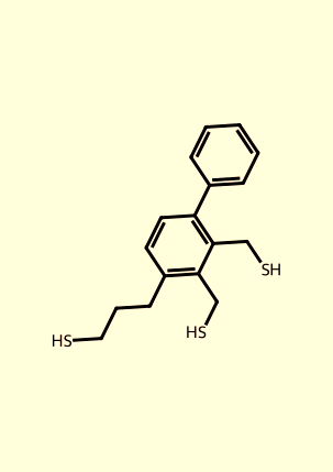 SCCCc1ccc(-c2ccccc2)c(CS)c1CS